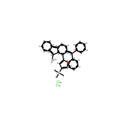 C[Si](C)(C)C1=CCC(c2c3c(ccc2=C(c2ccccc2)c2ccccc2)=c2ccccc2=[C]3[Zr+2])=C1.[Cl-].[Cl-]